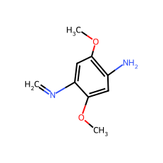 C=Nc1cc(OC)c(N)cc1OC